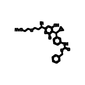 CCC(CCOCCOC)c1cc(O)c(C(c2cccc(NC(=O)OCc3ccccc3)c2)C2CC2)c(=O)o1